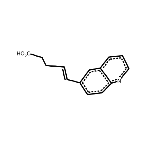 O=C(O)CCC=Cc1ccc2ncccc2c1